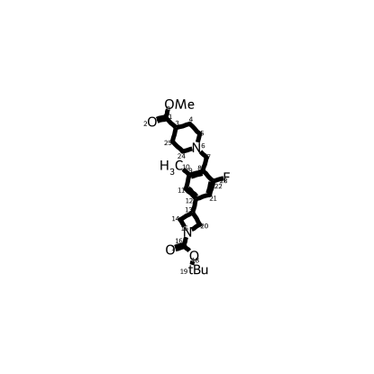 COC(=O)C1CCN(Cc2c(C)cc(C3CN(C(=O)OC(C)(C)C)C3)cc2F)CC1